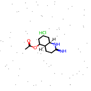 CC(=O)OC1CCC[C@H]2NC(=N)CC[C@@H]12.Cl